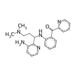 CN(C)CCC(Nc1ccccc1C(=O)c1ccccn1)c1ncccc1N